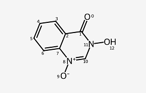 O=c1c2ccccc2[n+]([O-])cn1O